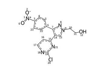 O=[N+]([O-])c1ccc(-c2nn(CCO)cc2-c2ccnc(Cl)n2)cc1